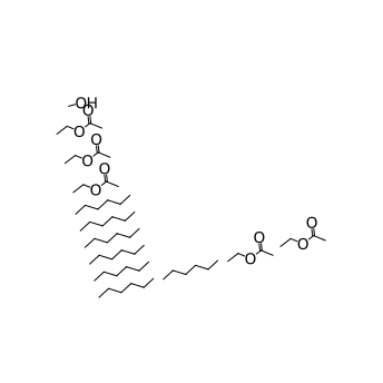 CCCCCC.CCCCCC.CCCCCC.CCCCCC.CCCCCC.CCCCCC.CCCCCC.CCOC(C)=O.CCOC(C)=O.CCOC(C)=O.CCOC(C)=O.CCOC(C)=O.CO